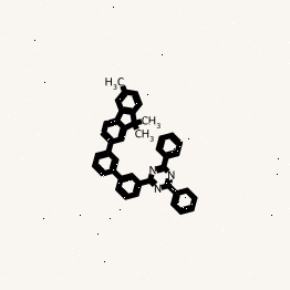 Cc1ccc2c(c1)-c1ccc(-c3cccc(-c4cccc(-c5nc(C6=CC=CCC6)nc(-c6ccccc6)n5)c4)c3)cc1C2(C)C